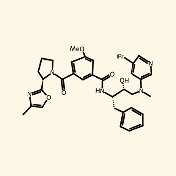 COc1cc(C(=O)N[C@@H](Cc2ccccc2)[C@H](O)CN(C)c2cncc(C(C)C)c2)cc(C(=O)N2CCC[C@@H]2c2nc(C)co2)c1